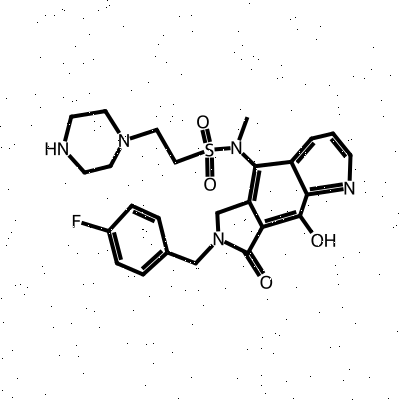 CN(c1c2c(c(O)c3ncccc13)C(=O)N(Cc1ccc(F)cc1)C2)S(=O)(=O)CCN1CCNCC1